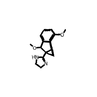 COc1cccc2c1C1CC1(C1=NCCN1)C2OC